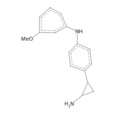 COc1cccc(Nc2ccc(C3CC3N)cc2)c1